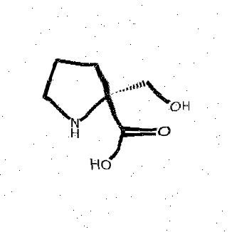 O=C(O)[C@]1(CO)CCCN1